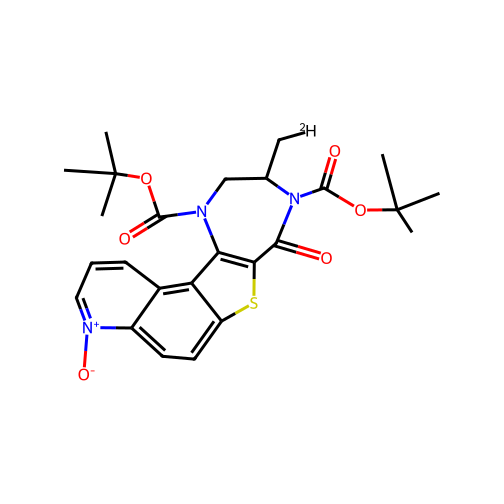 [2H]CC1CN(C(=O)OC(C)(C)C)c2c(sc3ccc4c(ccc[n+]4[O-])c23)C(=O)N1C(=O)OC(C)(C)C